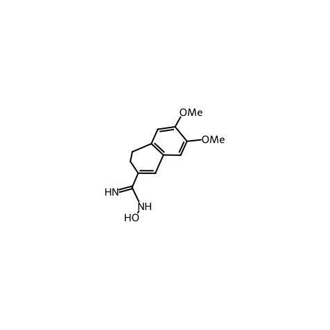 COc1cc2c(cc1OC)CCC(C(=N)NO)=C2